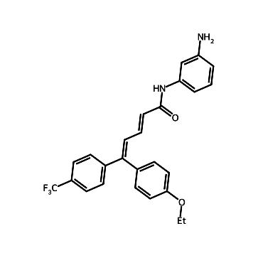 CCOc1ccc(/C(=C\C=C\C(=O)Nc2cccc(N)c2)c2ccc(C(F)(F)F)cc2)cc1